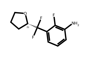 Nc1cccc(C(F)(F)[C@@H]2CCCO2)c1F